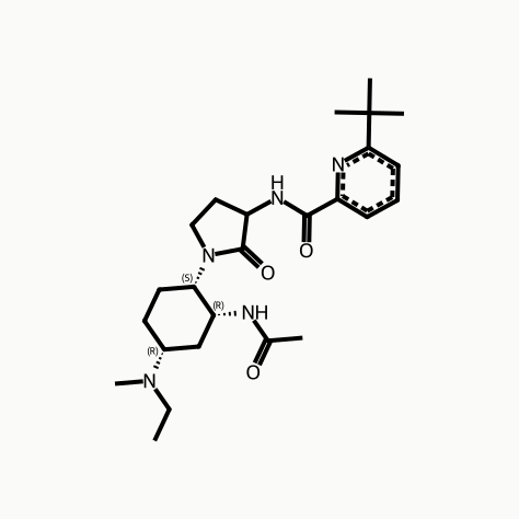 CCN(C)[C@@H]1CC[C@H](N2CCC(NC(=O)c3cccc(C(C)(C)C)n3)C2=O)[C@H](NC(C)=O)C1